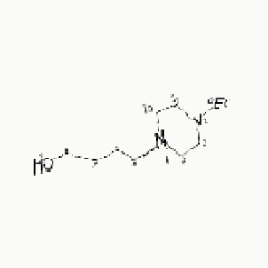 CCN1CCN(CCCCO)CC1